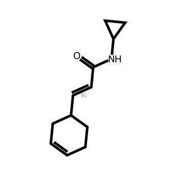 O=C(/C=C/C1CC=CCC1)NC1CC1